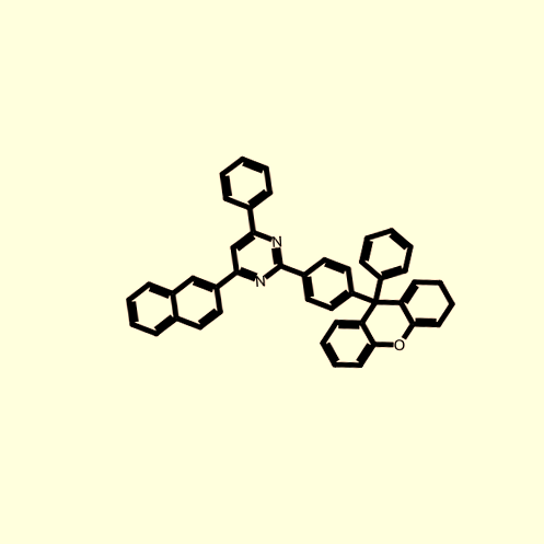 C1=C2Oc3ccccc3C(c3ccccc3)(c3ccc(-c4nc(-c5ccccc5)cc(-c5ccc6ccccc6c5)n4)cc3)C2=CCC1